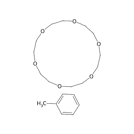 C1COCCOCCOCCOCCOCCO1.Cc1ccccc1